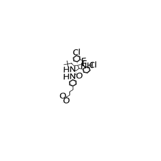 COC(=O)CCCc1ccc(NC(=O)[C@@H]2N[C@@H](CC(C)(C)C)[C@](C=N)(c3ccc(Cl)cc3F)C2c2cccc(Cl)c2F)cc1